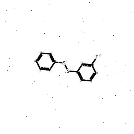 Fc1cccc(SSc2ccccc2)c1